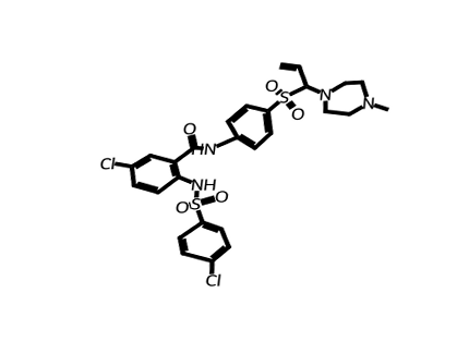 C=CC(N1CCN(C)CC1)S(=O)(=O)c1ccc(NC(=O)c2cc(Cl)ccc2NS(=O)(=O)c2ccc(Cl)cc2)cc1